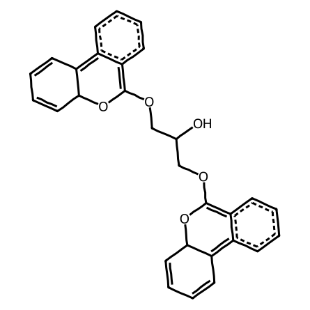 OC(COC1=c2ccccc2=C2C=CC=CC2O1)COC1=c2ccccc2=C2C=CC=CC2O1